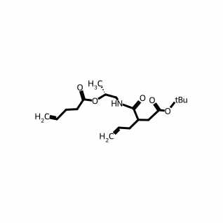 C=CCCC(=O)O[C@H](C)CNC(=O)C(CC=C)CC(=O)OC(C)(C)C